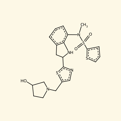 CN(c1cccc2c1NC(c1ncc(CN3CCC(O)C3)s1)C2)S(=O)(=O)c1cccs1